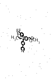 COC(=O)C[C@H]1CCN([C@@H](CCC(C)C)c2ccc(-c3ccncc3)cc2)[C@@H](c2ccc(C(F)(F)F)cc2)C1